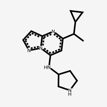 CC(c1cc(NC2CCNC2)n2nccc2n1)C1CC1